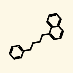 c1ccc(CCCCc2cccc3ccccc23)cc1